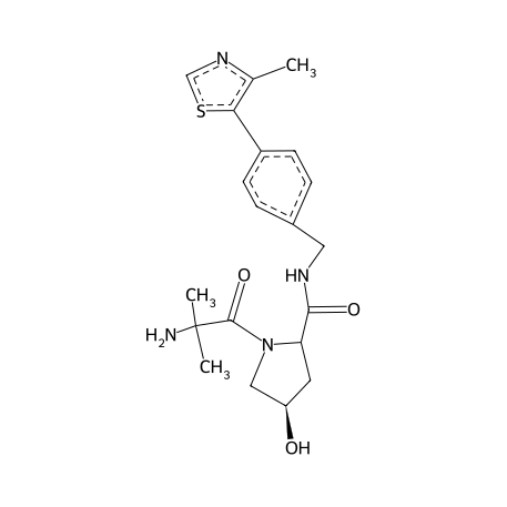 Cc1ncsc1-c1ccc(CNC(=O)C2C[C@@H](O)CN2C(=O)C(C)(C)N)cc1